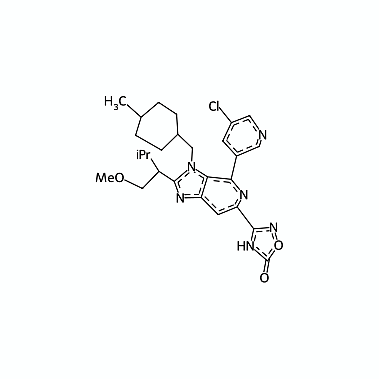 COCC(c1nc2cc(-c3noc(=O)[nH]3)nc(-c3cncc(Cl)c3)c2n1CC1CCC(C)CC1)C(C)C